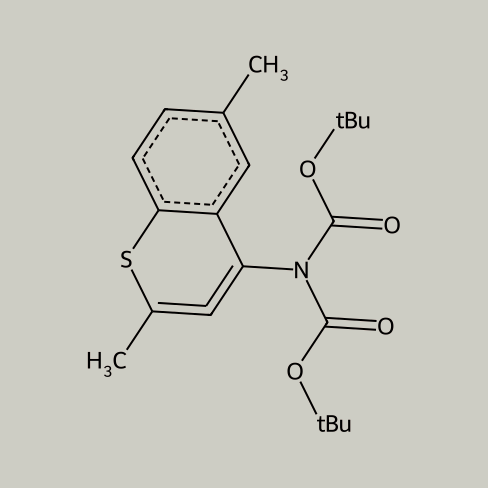 CC1=C=C(N(C(=O)OC(C)(C)C)C(=O)OC(C)(C)C)c2cc(C)ccc2S1